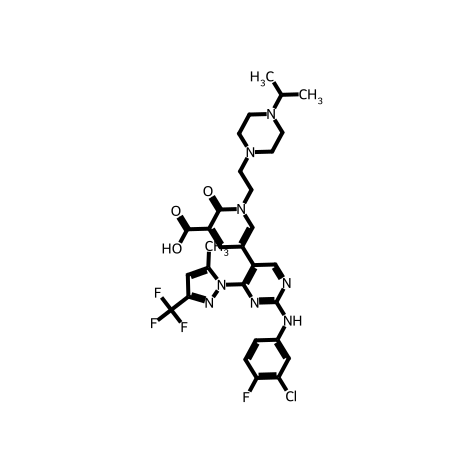 Cc1cc(C(F)(F)F)nn1-c1nc(Nc2ccc(F)c(Cl)c2)ncc1-c1cc(C(=O)O)c(=O)n(CCN2CCN(C(C)C)CC2)c1